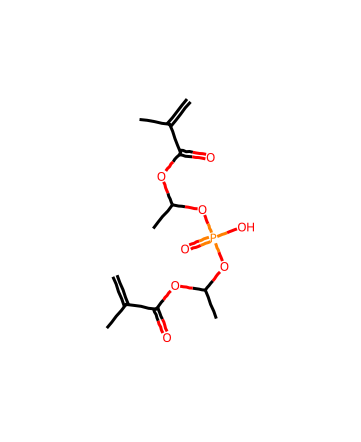 C=C(C)C(=O)OC(C)OP(=O)(O)OC(C)OC(=O)C(=C)C